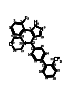 Fc1ccccc1-c1[nH]ncc1C(c1ccc(-c2ccccc2C(F)(F)F)cc1)N1CCOCC1